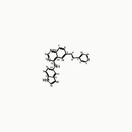 c1cc(CCc2ccc3ncnc(Nc4ccc5[nH]ccc5c4)c3c2)ccn1